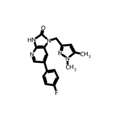 Cc1cc(Cn2c(=O)[nH]c3ncc(-c4ccc(F)cc4)cc32)nn1C